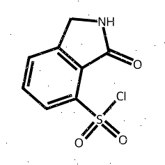 O=C1NCc2cccc(S(=O)(=O)Cl)c21